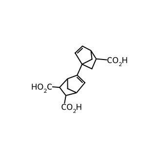 O=C(O)C1CC2(C3=CC4CC3C(C(=O)O)C4C(=O)O)C=CC1C2